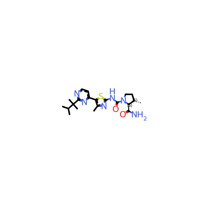 Cc1nc(NC(=O)N2CC[C@H](C)[C@H]2C(N)=O)sc1-c1ccnc(C(C)(C)C(C)C)n1